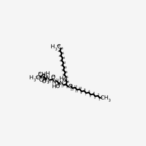 CCCCCCCCCCCCCCOCC(CNC(=O)CNC(=O)CNC(=O)OC(C)(C)C)COCCCCCCCCCCCCCC